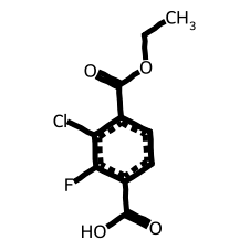 CCOC(=O)c1ccc(C(=O)O)c(F)c1Cl